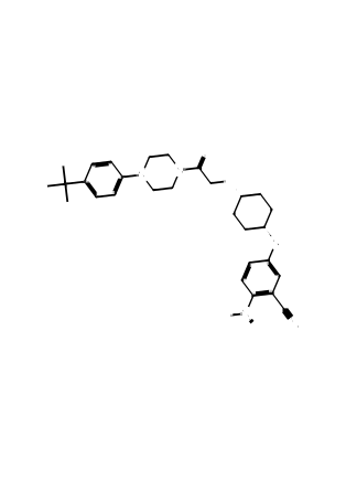 CC(C)(C)c1ccc(N2CCN(C(=O)CO[C@H]3CC[C@H](Nc4ccc([N+](=O)[O-])c(C#N)c4)CC3)CC2)cc1